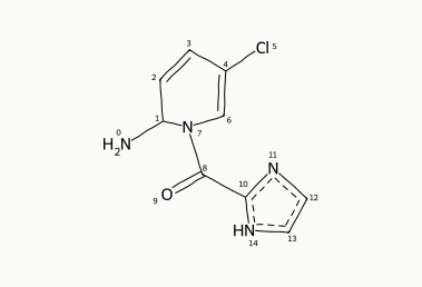 NC1C=CC(Cl)=CN1C(=O)c1ncc[nH]1